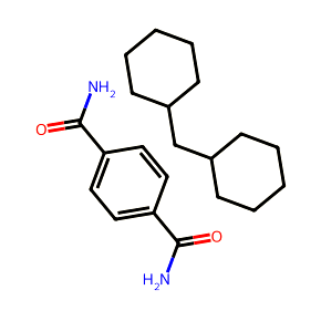 C1CCC(CC2CCCCC2)CC1.NC(=O)c1ccc(C(N)=O)cc1